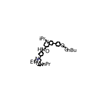 CCCCOCCOc1ccc(-c2ccc3c(c2)C=C(C(=O)Nc2ccc(/C(Cc4nccn4CCC)=N/OCC)cc2)CCN3CC(C)C)cc1